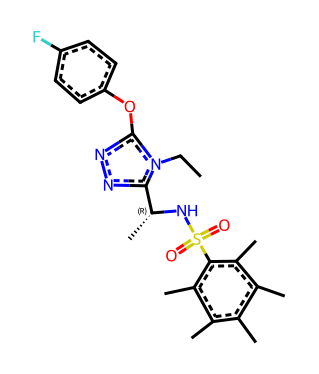 CCn1c(Oc2ccc(F)cc2)nnc1[C@@H](C)NS(=O)(=O)c1c(C)c(C)c(C)c(C)c1C